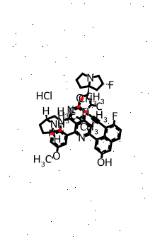 COc1cncc(-c2nc(-c3cc(O)cc4ccc(F)c(C#C[Si](C(C)C)(C(C)C)C(C)C)c34)c(F)c3nc(OC[C@@]45CCCN4C[C@H](F)C5)nc(N4C[C@H]5CC[C@@H](C4)N5)c23)c1.Cl